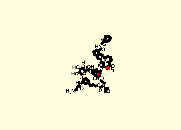 Cc1c(N2C(N3CCc4cccc(C(=O)Nc5nc6ccccc6s5)c4C3)=CC=CC2C(=O)O)cnn1CC12CC3(C)CC(C)(C1)CC(OCCN(C(=O)OC/C=C/c1ccc(O[C@@H]4O[C@H](C(=O)O)[C@@H](O)[C@H](O)[C@H]4O)c(NC(=O)CCN)c1)C1COC1)(C3)C2